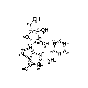 Nc1nc2c(ncn2[C@@H]2O[C@H](CO)[C@@H](O)[C@H]2O)c(=O)[nH]1.c1cncnc1